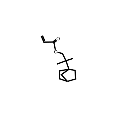 C=CC(=O)OCC(C)(C)C12CCC(CC1)C2